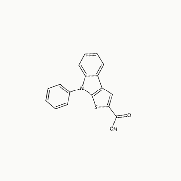 O=C(O)c1cc2c3ccccc3n(-c3ccccc3)c2s1